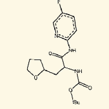 CC(C)(C)OC(=O)NC(CC1CCCO1)C(=O)Nc1ccc(F)cn1